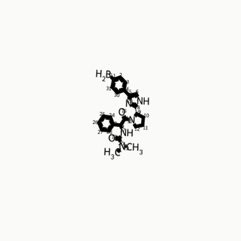 Bc1ccc(-c2c[nH]c([C@@H]3CCCN3C(=O)C(NC(=O)N(C)C)c3ccccc3)n2)cc1